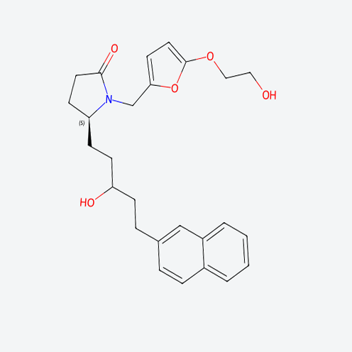 O=C1CC[C@H](CCC(O)CCc2ccc3ccccc3c2)N1Cc1ccc(OCCO)o1